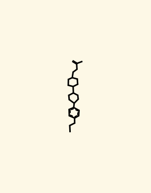 C=C(C)CCC1CCC(C2CCC(c3ccc(CCC)cc3)CC2)CC1